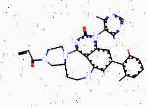 C=CC(=O)N1CCN2c3nc(=O)n(-c4c(C(C)C)ncnc4C(C)C)c4c(F)c(-c5c(C)cccc5O)c(F)c(c34)N(C)CCC2C1